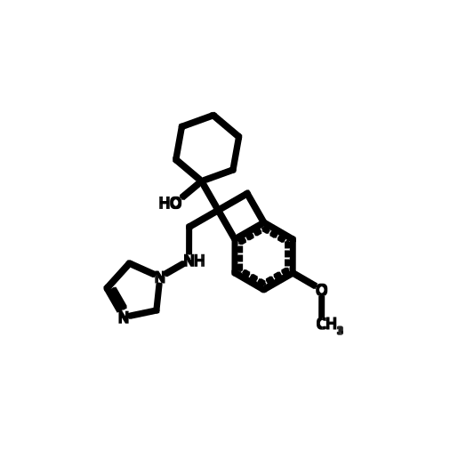 COc1ccc2c(c1)CC2(CNN1CC=NC1)C1(O)CCCCC1